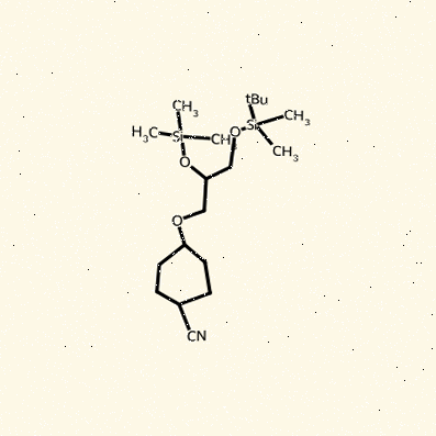 CC(C)(C)[Si](C)(C)OCC(COC1CCC(C#N)CC1)O[Si](C)(C)C